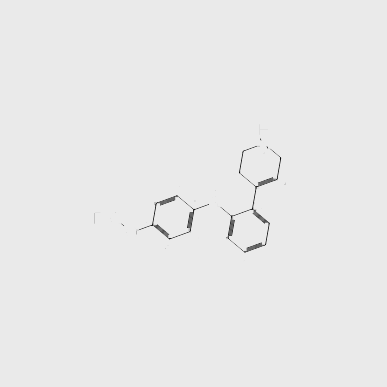 FC(F)(F)Oc1ccc(Sc2ccccc2C2=CCNCC2)cc1